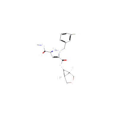 CNC(=O)c1cc(C(=O)NC2[C@H]3COC[C@@H]23)n([C@@H](C)c2cccc(F)c2)n1